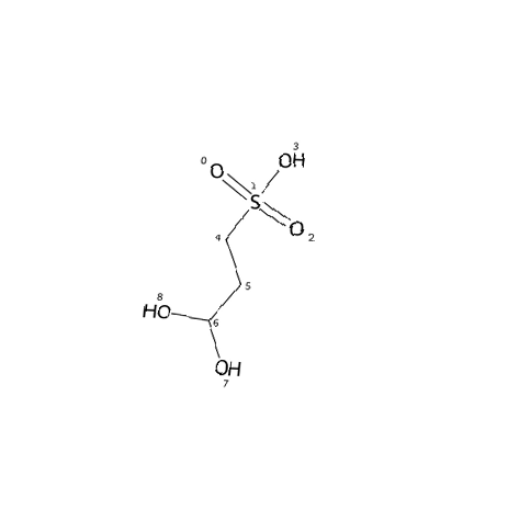 O=S(=O)(O)CCC(O)O